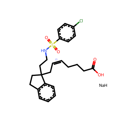 O=C(O)CCC/C=C\CC1(CCNS(=O)(=O)c2ccc(Cl)cc2)CCc2ccccc21.[NaH]